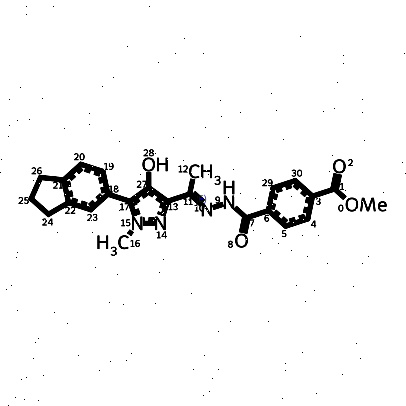 COC(=O)c1ccc(C(=O)N/N=C(\C)c2nn(C)c(-c3ccc4c(c3)CCC4)c2O)cc1